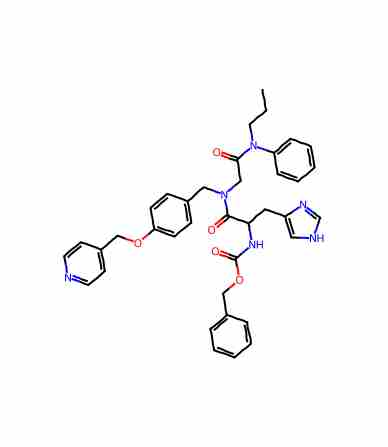 CCCN(C(=O)CN(Cc1ccc(OCc2ccncc2)cc1)C(=O)C(Cc1c[nH]cn1)NC(=O)OCc1ccccc1)c1ccccc1